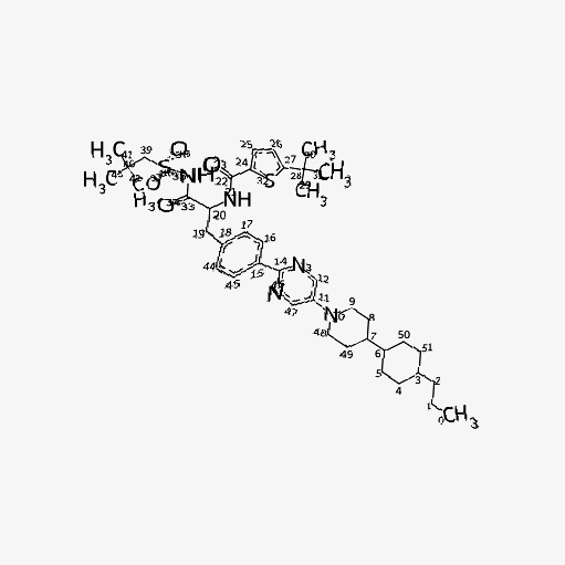 CCCC1CCC(C2CCN(c3cnc(-c4ccc(CC(NC(=O)c5ccc(C(C)(C)C)s5)C(=O)NS(=O)(=O)CC(C)(C)C)cc4)nc3)CC2)CC1